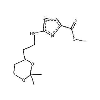 COC(=O)c1csc(NCCC2CCOC(C)(C)O2)n1